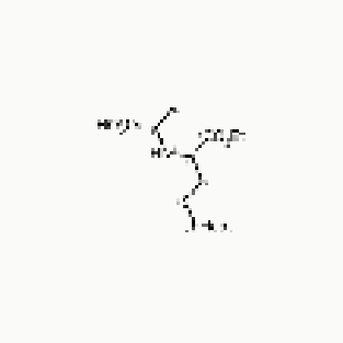 CCCCCCCSC[C@H](N[C@@H](C)C(=O)O)C(=O)OCC